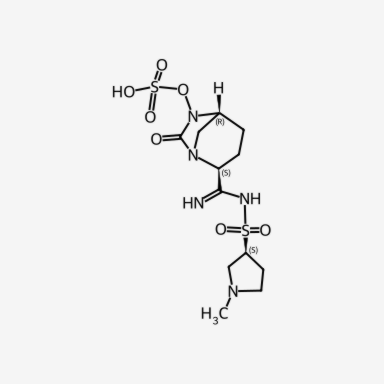 CN1CC[C@H](S(=O)(=O)NC(=N)[C@@H]2CC[C@@H]3CN2C(=O)N3OS(=O)(=O)O)C1